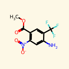 COC(=O)c1cc(C(F)(F)F)c(N)cc1[N+](=O)[O-]